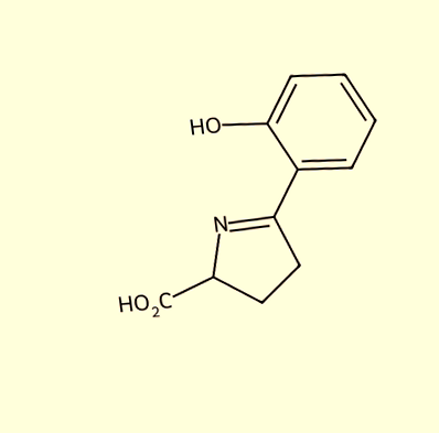 O=C(O)C1CCC(c2ccccc2O)=N1